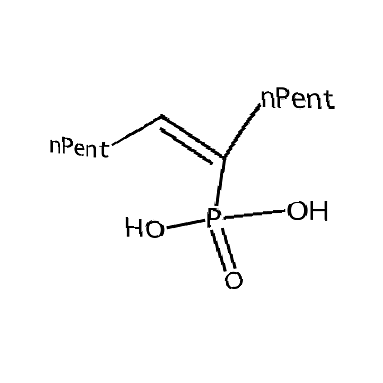 CCCCC/C=C(/CCCCC)P(=O)(O)O